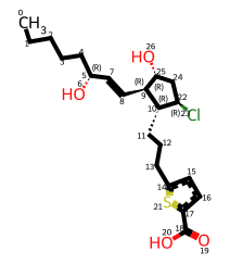 CCCCC[C@@H](O)C=C[C@@H]1[C@@H](CCCc2ccc(C(=O)O)s2)[C@H](Cl)C[C@H]1O